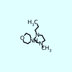 C1COCCN1.CCCN1CCN(C)CC1